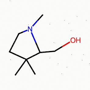 CN1CCC(C)(C)C1CO